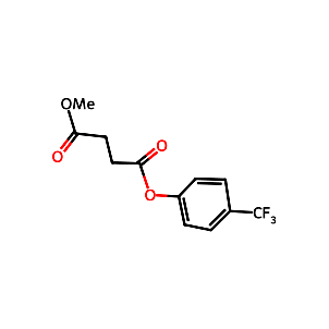 COC(=O)CCC(=O)Oc1ccc(C(F)(F)F)cc1